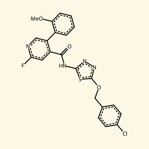 COc1ccccc1-c1cnc(F)cc1C(=O)Nc1nnc(OCc2ccc(Cl)cc2)s1